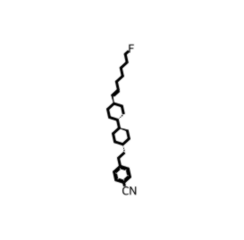 N#Cc1ccc(CC[C@H]2CC[C@H]([C@H]3CC[C@H](C=CCCCCCF)CC3)CC2)cc1